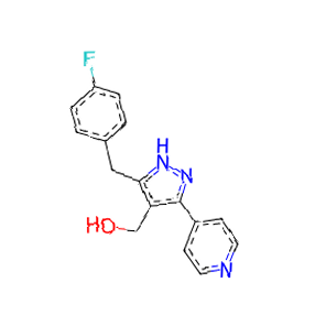 OCc1c(-c2ccncc2)n[nH]c1Cc1ccc(F)cc1